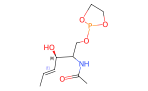 C/C=C/[C@@H](O)C(COP1OCCO1)NC(C)=O